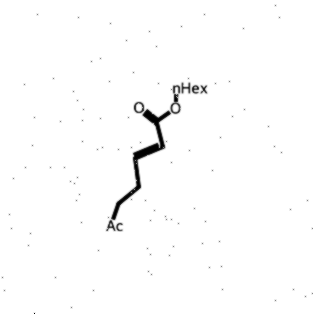 CCCCCCOC(=O)/C=C/CCC(C)=O